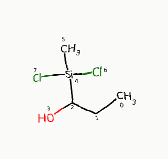 CCC(O)[Si](C)(Cl)Cl